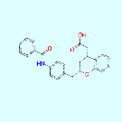 O=C(O)CC1CC(Cc2ccc(NC(=O)c3ccccc3)cc2)Oc2ccccc21